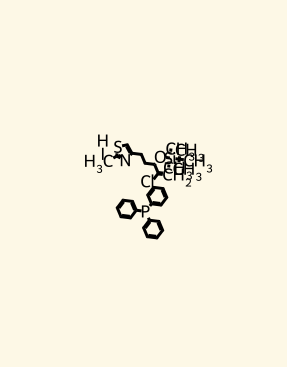 C=C(Cl)C(CCc1csc(C)n1)O[Si](C)(C)C(C)(C)C.I.c1ccc(P(c2ccccc2)c2ccccc2)cc1